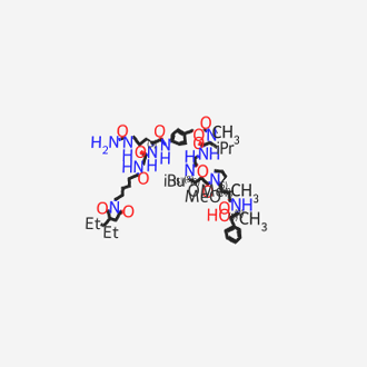 CCC(CC)C1CC(=O)N(CCCCCC(=O)NCC(=O)N[C@@H](CCCNC(N)=O)C(=O)Nc2ccc(COC(=O)N(C)C(C(=O)NCC(=O)N[C@@H]([C@@H](C)CC)[C@@H](CC(=O)N3CCC[C@H]3[C@H](OC)[C@@H](C)C(=O)N[C@H](C)[C@@H](O)c3ccccc3)OC)C(C)C)cc2)C1=O